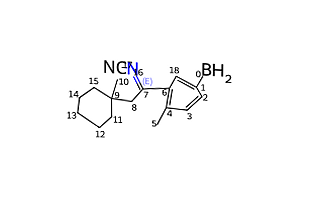 Bc1ccc(C)c(/C(CC2(C)CCCCC2)=N/C#N)c1